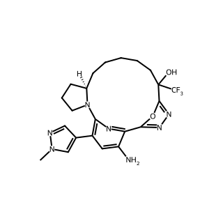 Cn1cc(-c2cc(N)c3nc2N2CCC[C@H]2CCCCCC(O)(C(F)(F)F)c2nnc-3o2)cn1